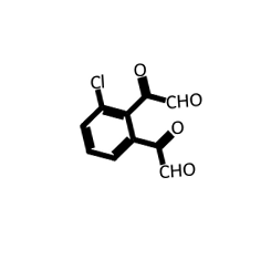 O=CC(=O)c1cccc(Cl)c1C(=O)C=O